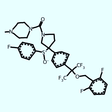 CN1CCN(C(=O)N2CCC(c3ccc(C(OCc4c(F)cccc4F)(C(F)(F)F)C(F)(F)F)cc3)([S+]([O-])c3ccc(F)cc3)C2)CC1